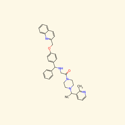 Cc1ncccc1C(C#N)N1CCN(C(=O)CNC(c2ccccc2)c2ccc(OCc3ccc4ccccc4n3)cc2)CC1